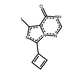 O=c1[nH]cnn2c(C3=CC=C3)nc(I)c12